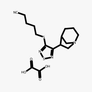 N#CCCCCSc1nsnc1C1CN2CCCC1C2.O=C(O)C(=O)O